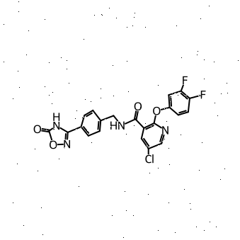 O=C(NCc1ccc(-c2noc(=O)[nH]2)cc1)c1cc(Cl)cnc1Oc1ccc(F)c(F)c1